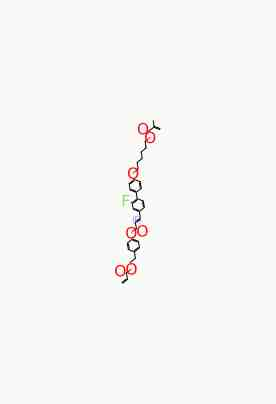 C=CC(=O)OCCc1ccc(OC(=O)/C=C/c2ccc(-c3ccc(OCCCCCCOC(=O)C(=C)C)cc3)c(F)c2)cc1